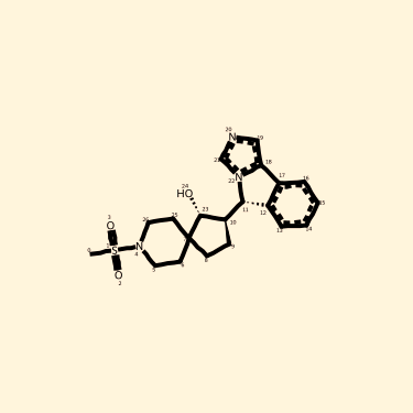 CS(=O)(=O)N1CCC2(CC[C@H]([C@H]3c4ccccc4-c4cncn43)[C@H]2O)CC1